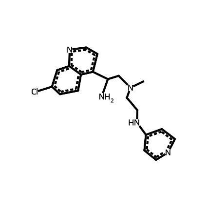 CN(CCNc1ccncc1)CC(N)c1ccnc2cc(Cl)ccc12